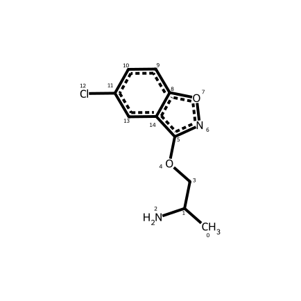 CC(N)COc1noc2ccc(Cl)cc12